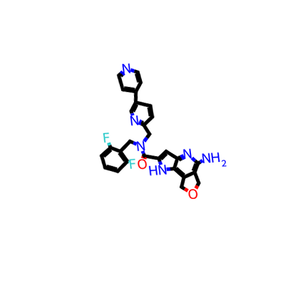 Nc1nc2cc(C(=O)N(Cc3ccc(-c4ccncc4)cn3)Cc3c(F)cccc3F)[nH]c2c2c1COC2